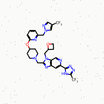 FC(F)(F)c1cnn(Cc2cccc(OC3CCN(Cc4nc5cc(-c6nnc(C(F)(F)F)[nH]6)ncc5n4CC4CCO4)CC3)n2)c1